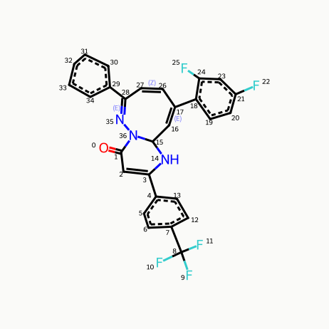 O=C1C=C(c2ccc(C(F)(F)F)cc2)NC2\C=C(c3ccc(F)cc3F)/C=C\C(c3ccccc3)=N/N12